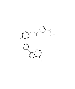 Cc1ccc(NC(=O)N2CC=C(C(F)C(F)F)C2)cc1-n1cc(-c2cnc3c(N)ncnn23)cn1